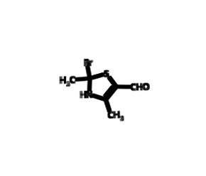 CC1=C(C=O)SC(C)(Br)N1